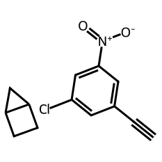 C#Cc1cc(Cl)cc([N+](=O)[O-])c1.C1CC2CC12